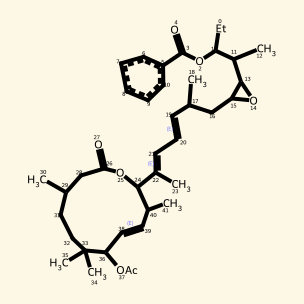 CCC(OC(=O)c1ccccc1)C(C)C1OC1CC(C)/C=C/C=C(\C)C1OC(=O)CC(C)CCC(C)(C)C(OC(C)=O)/C=C/C1C